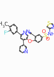 Cc1ccc(-c2cc(-c3cccnc3)c(Oc3ccc(S(=O)(=O)Nc4cscn4)cc3C#N)cn2)cc1F